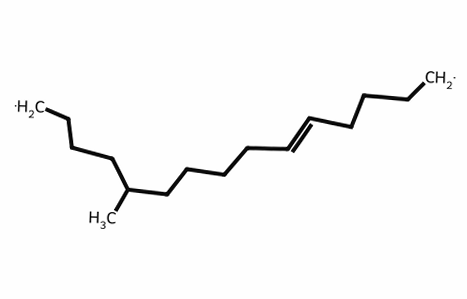 [CH2]CCCC=CCCCCC(C)CCC[CH2]